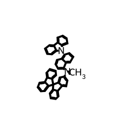 CN(c1ccc2c(c1)C1(c3ccccc3-c3ccccc31)c1ccccc1-2)c1cccc2c(-n3c4ccccc4c4ccccc43)cccc12